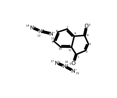 O=C1C=CC(=O)c2ccccc21.[N-]=[N+]=[N-].[N-]=[N+]=[N-]